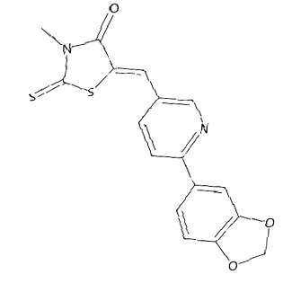 CN1C(=O)/C(=C/c2ccc(-c3ccc4c(c3)OCO4)nc2)SC1=S